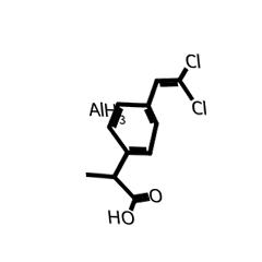 CC(C(=O)O)c1ccc(C=C(Cl)Cl)cc1.[AlH3]